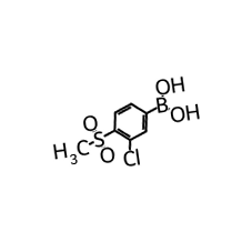 CS(=O)(=O)c1ccc(B(O)O)cc1Cl